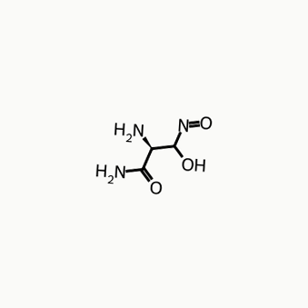 NC(=O)[C@@H](N)C(O)N=O